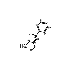 CCC(=CC(C)c1ccccc1)CO